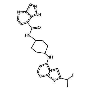 CC(F)c1cn2c(NC3CCC(NC(=O)c4ccnc5cn[nH]c45)CC3)cccc2n1